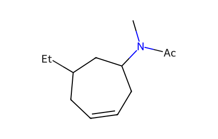 CCC1CC=CCC(N(C)C(C)=O)C1